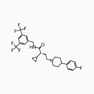 O=C(NCc1cc(C(F)(F)F)cc(C(F)(F)F)c1)[C@@H](CCN1CCC(c2ccc(F)cc2)CC1)C1CC1